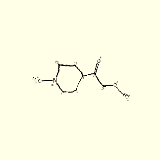 CC(C)OCC(=O)C1CCN(C)CC1